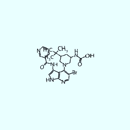 CC(C)(C)C1CC(NC(=O)O)CN(c2c(Br)cnc3[nH]cc(NC(=O)c4cccnc4)c23)C1